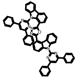 c1ccc(-c2cc(-c3ccccc3)nc(-n3c4ccccc4c4c(-c5nnc(-c6cccc7c8ccccc8n(-c8nc(-c9ccccc9)cc(-c9ccccc9)n8)c67)o5)cccc43)n2)cc1